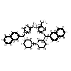 Cc1nnn(C(c2ccc3ccccc3c2)[C@H]2CCCN(N3CCC[C@H](C(c4ccc5ccccc5c4)n4nnc(C)n4)C3)C2)n1